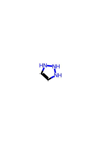 [C]1=[C]NNN1